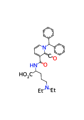 CCN(CC)CCCC(NC(=O)C1=CC=CN(C(c2ccccc2)c2ccccc2)C1=C=O)C(=O)O